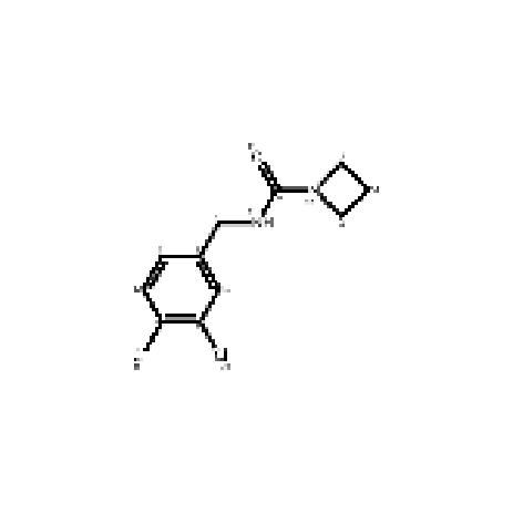 O=C(NCc1ccc(Cl)c(Cl)c1)N1CCC1